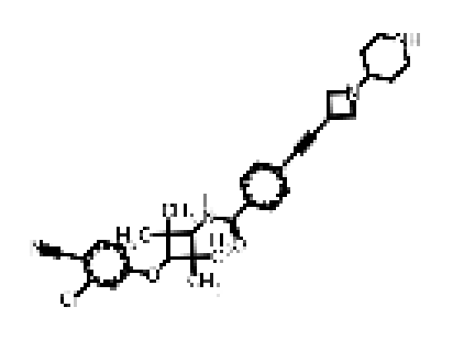 CC1(C)C(NC(=O)c2ccc(C#CC3CN(C4CCNCC4)C3)cc2)C(C)(C)C1Oc1ccc(C#N)c(Cl)c1